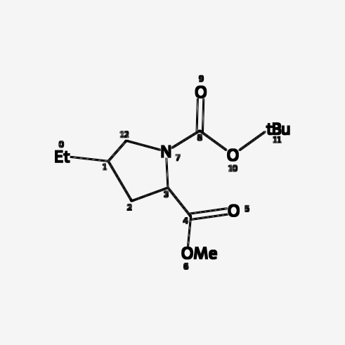 CCC1CC(C(=O)OC)N(C(=O)OC(C)(C)C)C1